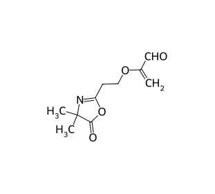 C=C(C=O)OCCC1=NC(C)(C)C(=O)O1